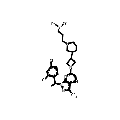 CC(c1ccc(Cl)cc1Cl)n1nc(C(F)(F)F)c2ncc(N3CC(C4CCCN(CCN[S+]([O-])C(C)C)C4)C3)nc21